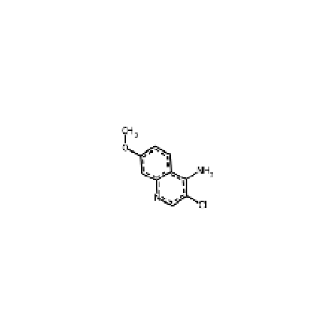 COc1ccc2c(N)c(Cl)cnc2c1